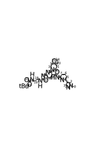 Cn1cc(-c2cccc(NC(=O)c3cc4oc(NCCNC(=O)OC(C)(C)C)nc4nc3N3CCC4(CCO4)CC3)n2)cn1